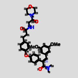 COc1cc(/C=C(/C(=O)N(C)C)c2ccc(Oc3ccc(CCC(=O)NCC(=O)N4CCOCC4)cc3)cc2)cc(OC)c1